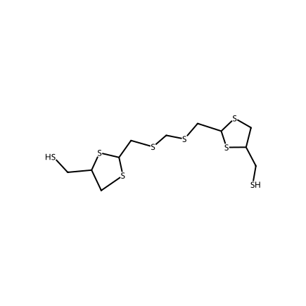 SCC1CSC(CSCSCC2SCC(CS)S2)S1